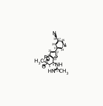 CC(=N)NC(CS(C)(=O)=O)c1sc(-c2cncc(C#N)c2)cc1F